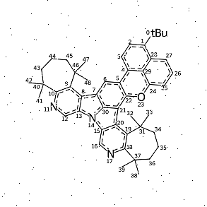 CC(C)(C)c1ccc2c3cc4c5c6c(ncc5n5c7cnc8c(c7c(c3oc3cccc1c32)c45)C(C)(C)CCCC8(C)C)C(C)(C)CCCC6(C)C